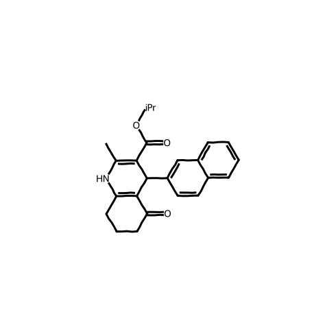 CC1=C(C(=O)OC(C)C)C(c2ccc3ccccc3c2)C2=C(CCCC2=O)N1